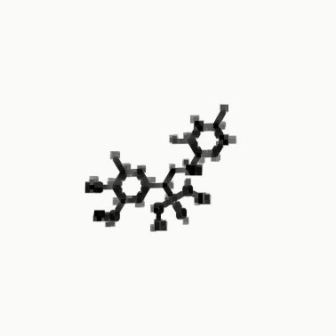 CCOP(=O)(OCC)C(CNc1cnc(C)nc1C)c1cc(C)c(O)c(OC)c1